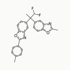 Cc1ccc(-c2nc3cc(C(C)(c4ccc5oc(C)nc5c4)C(F)F)ccc3o2)cc1